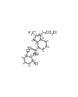 CCOC(=O)Cn1c(C(F)(F)F)nc2c(C(=O)Nc3c(Cl)cccc3Cl)cccc21